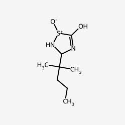 CCCC(C)(C)C1N=C(O)[S+]([O-])N1